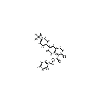 O=C1CCc2cc(-c3ccc(C(F)(F)F)cc3)ccc2N1C(=O)OCc1ccccc1